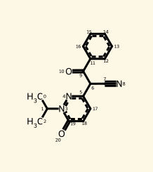 CC(C)n1nc(C(C#N)C(=O)c2ccccc2)ccc1=O